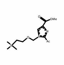 COC(=O)c1cn(COCC[Si](C)(C)C)c(C(C)=O)n1